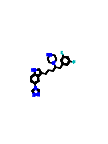 Fc1cc(F)cc(CC(CCCc2c[nH]c3ccc(-n4cnnc4)cc23)N2CCNCC2)c1